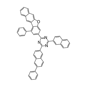 c1ccc(-c2ccc3cc(-c4nc(-c5ccc6ccccc6c5)nc(-c5cc(-c6ccccc6)c6c(c5)oc5cc7ccccc7cc56)n4)ccc3c2)cc1